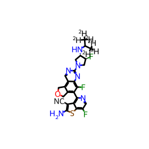 [2H]C([2H])([2H])C(N[C@H]1CN(c2ncc3c4c(c(-c5ncc(F)c6sc(N)c(C#N)c56)c(F)c3n2)COC4)C[C@@H]1F)C([2H])([2H])[2H]